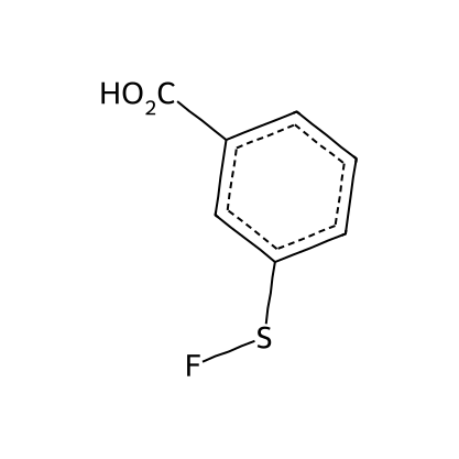 O=C(O)c1cccc(SF)c1